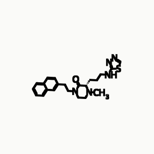 CN1CCN(CCc2ccc3ccccc3c2)C(=O)[C@@H]1CCCNc1nncs1